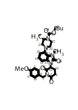 COc1ccc(CN2C(=O)CCC(n3c(=O)n(C)c4c(N5CCN(C(=O)OC(C)(C)C)[C@H](C)C5)cccc43)C2=O)cc1